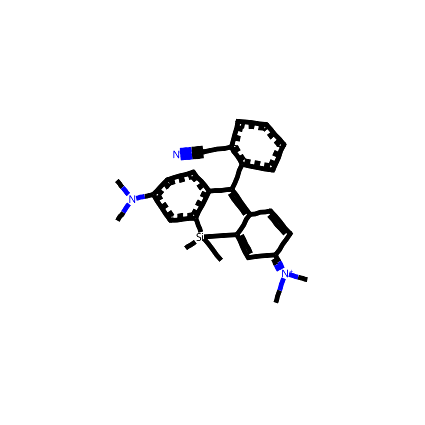 CN(C)c1ccc2c(c1)[Si](C)(C)C1=CC(=[N+](C)C)C=CC1=C2c1ccccc1C#N